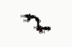 CCC(=C(c1ccc(O)cc1)c1ccc(OCCN2CCN(C(=O)CCCCCC(=O)N[C@H](C(=O)N3C[C@H](O)C[C@H]3C(=O)NCc3ccc(-c4scnc4C)cc3)C(C)(C)C)CC2)cc1)c1ccc(O)cc1